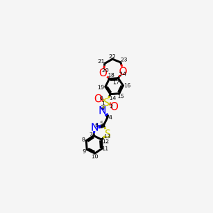 O=S(=O)(N=Cc1nc2ccccc2s1)c1ccc2c(c1)OCCCO2